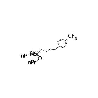 CCCO[SiH](CCCCc1ccc(C(F)(F)F)cc1)OCCC